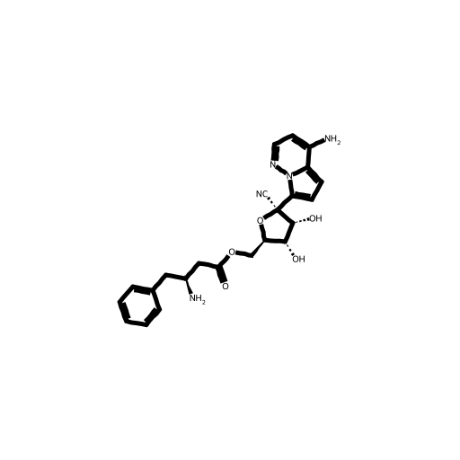 N#C[C@@]1(c2ccc3c(N)ccnn23)O[C@H](COC(=O)C[C@@H](N)Cc2ccccc2)[C@@H](O)[C@H]1O